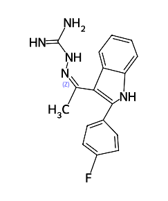 C/C(=N/NC(=N)N)c1c(-c2ccc(F)cc2)[nH]c2ccccc12